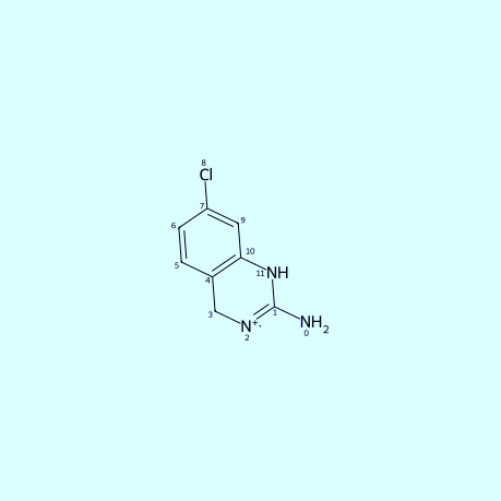 NC1=[N+]Cc2ccc(Cl)cc2N1